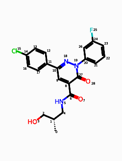 C[C@H](CO)CNC(=O)c1cc(-c2ccc(Cl)cc2)nn(-c2cccc(F)c2)c1=O